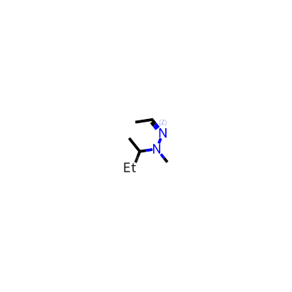 C/C=N\N(C)C(C)CC